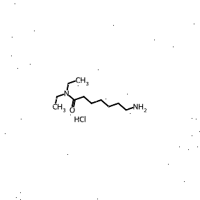 CCN(CC)C(=O)CCCCCCN.Cl